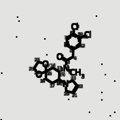 CN(C(=O)Cc1ccc(Cl)c(Cl)c1)[C@H]1CC2(CC[C@@H]1N1CC=CC1)OCCO2